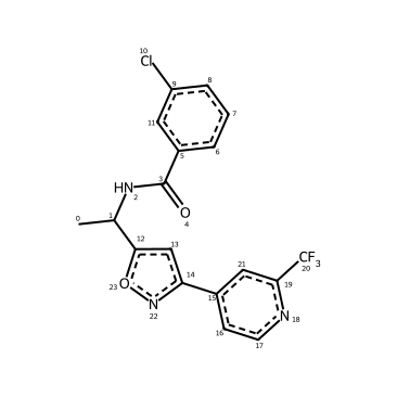 CC(NC(=O)c1cccc(Cl)c1)c1cc(-c2ccnc(C(F)(F)F)c2)no1